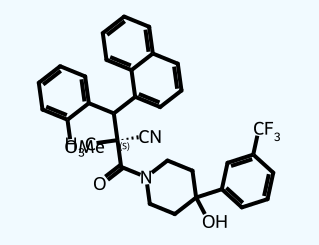 COc1ccccc1C(c1cccc2ccccc12)[C@@](C)(C#N)C(=O)N1CCC(O)(c2cccc(C(F)(F)F)c2)CC1